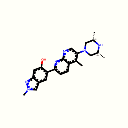 Cc1c(N2C[C@@H](C)N[C@@H](C)C2)cnc2nc(-c3cc4cn(C)nc4cc3O)ccc12